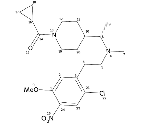 COc1cc(CCN(C)[C@@H](C)C2CCN(C(=O)C3CC3)CC2)c(Cl)cc1[N+](=O)[O-]